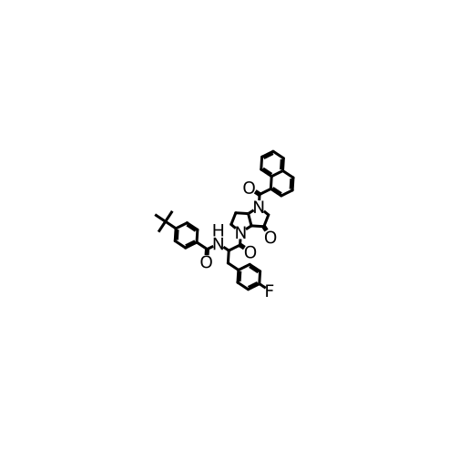 CC(C)(C)c1ccc(C(=O)NC(Cc2ccc(F)cc2)C(=O)N2CCC3C2C(=O)CN3C(=O)c2cccc3ccccc23)cc1